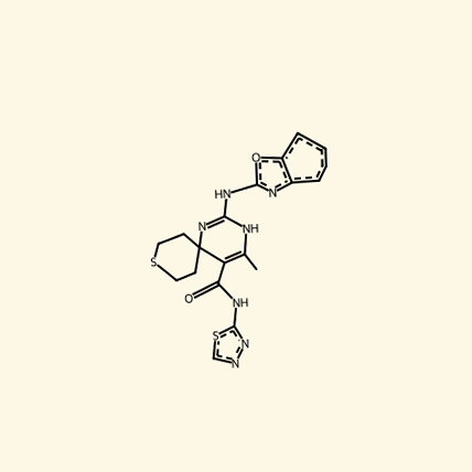 CC1=C(C(=O)Nc2nncs2)C2(CCSCC2)N=C(Nc2nc3ccccc3o2)N1